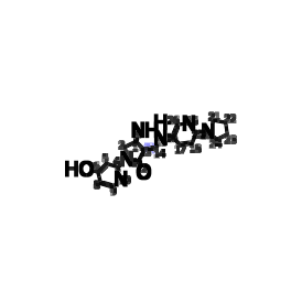 N=C1CN(c2cc(O)ccn2)C(=O)/C1=C/Nc1ccc(N2CCCC2)nc1